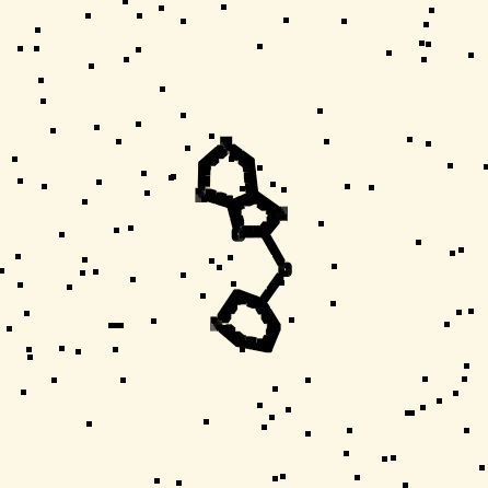 c1cncc(Oc2nc3cncnc3o2)c1